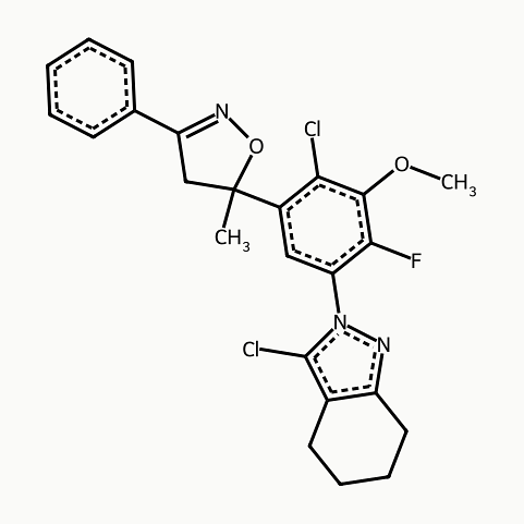 COc1c(F)c(-n2nc3c(c2Cl)CCCC3)cc(C2(C)CC(c3ccccc3)=NO2)c1Cl